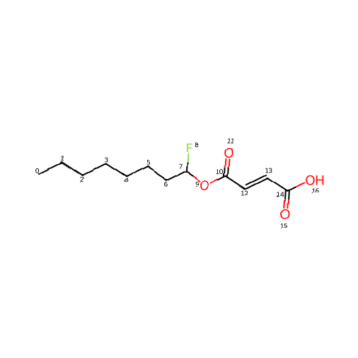 CCCCCCCC(F)OC(=O)C=CC(=O)O